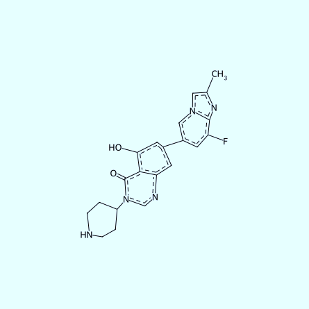 Cc1cn2cc(-c3cc(O)c4c(=O)n(C5CCNCC5)cnc4c3)cc(F)c2n1